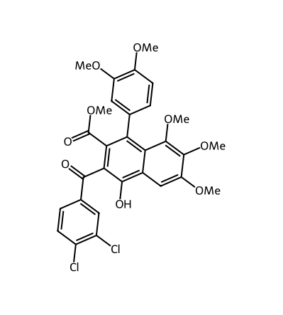 COC(=O)c1c(C(=O)c2ccc(Cl)c(Cl)c2)c(O)c2cc(OC)c(OC)c(OC)c2c1-c1ccc(OC)c(OC)c1